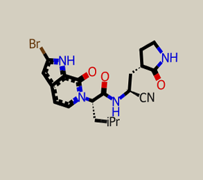 CC(C)C[C@@H](C(=O)N[C@H](C#N)C[C@@H]1CCNC1=O)n1ccc2cc(Br)[nH]c2c1=O